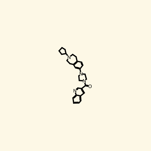 O=C(c1cnc2ccccc2c1)N1CCN(c2ccc3c(c2)CCN(C2CCCC2)CC3)CC1